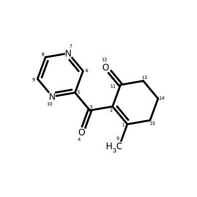 CC1=C(C(=O)c2cnccn2)C(=O)CCC1